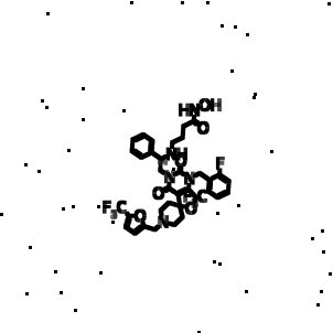 O=C(CCCN[C@@H](Cn1c(=O)c2c(n(Cc3c(F)cccc3C(F)(F)F)c1=O)COC21CCN(Cc2ccc(C(F)(F)F)o2)CC1)c1ccccc1)NO